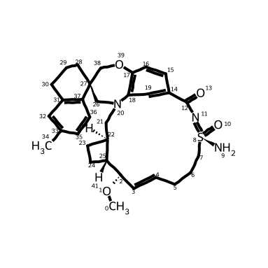 CO[C@H]1/C=C/CCC[S@@](N)(=O)=NC(=O)c2ccc3c(c2)N(C[C@@H]2CC[C@H]21)C[C@@]1(CCCc2cc(C)ccc21)CO3